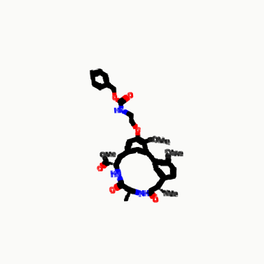 CN[C@@H]1C(=O)N[C@@H](C)C(=O)N[C@H](C(=O)OC)Cc2cc(OCCNC(=O)OCc3ccccc3)c(OC)c(c2)-c2cc1ccc2OC